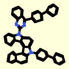 c1ccc(-c2ccc(-c3nc(-n4c5ccccc5c5c6c7c8ccccc8ccc7n(-c7ccc(-c8ccccc8)cc7)c6ccc54)nc4ccccc34)cc2)cc1